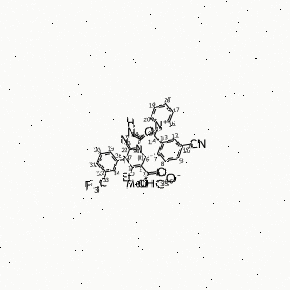 CCC1=C(C(=O)OC)[C@@H](c2ccc(C#N)cc2C[n+]2ccccc2)n2c(n[nH]c2=O)N1c1cccc(C(F)(F)F)c1.O=C[O-]